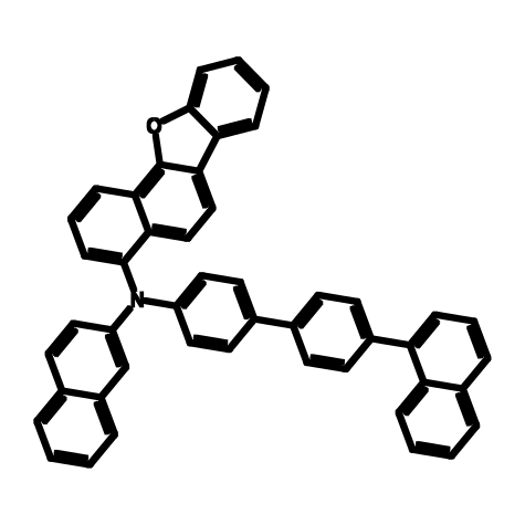 c1ccc2cc(N(c3ccc(-c4ccc(-c5cccc6ccccc56)cc4)cc3)c3cccc4c3ccc3c5ccccc5oc43)ccc2c1